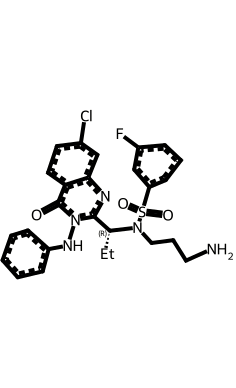 CC[C@H](c1nc2cc(Cl)ccc2c(=O)n1Nc1ccccc1)N(CCCN)S(=O)(=O)c1cccc(F)c1